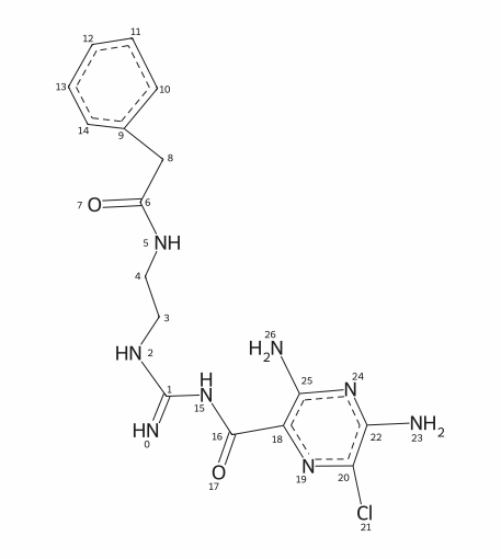 N=C(NCCNC(=O)Cc1ccccc1)NC(=O)c1nc(Cl)c(N)nc1N